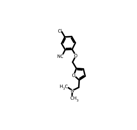 CN(C)Cc1ccc(COc2ccc(Cl)cc2C#N)o1